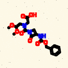 COC(CN(CC(=O)O)C(=O)N1CC(NC(=O)OCc2ccccc2)C1=O)OC